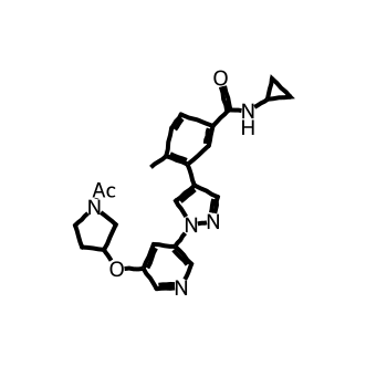 CC(=O)N1CCC(Oc2cncc(-n3cc(-c4cc(C(=O)NC5CC5)ccc4C)cn3)c2)C1